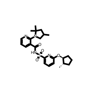 CC1CN(c2ncccc2C(=O)NS(=O)(=O)c2cccc(O[C@H]3CCC[C@@H]3C)n2)C(C)(C)C1